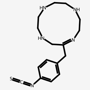 S=C=Nc1ccc(CC2=NCCNCCNCCNC2)cc1